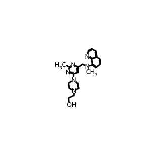 Cc1nc(CN(C)c2cccc3cccnc23)cc(N2CCN(CCO)CC2)n1